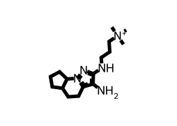 C[N+](C)(C)CCCNc1nn2c(c1N)CCC1CCCC12